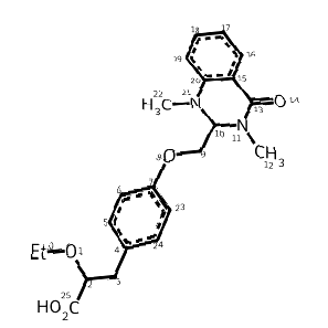 CCOC(Cc1ccc(OCC2N(C)C(=O)c3ccccc3N2C)cc1)C(=O)O